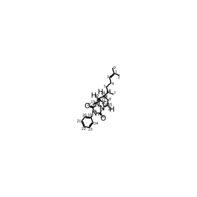 CC(C)=CCC[C@@H](C)[C@H]1C[C@H]2CC(C)[C@@H]1n1c(=O)n(-c3ccccc3)c(=O)n12